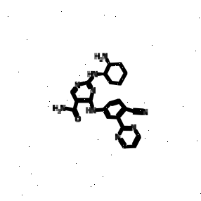 N#Cc1ccc(Nc2nc(N[C@@H]3CCCC[C@@H]3N)ncc2C(N)=O)cc1-c1ncccn1